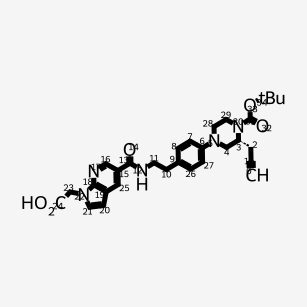 C#CC[C@@H]1CN(c2ccc(CCNC(=O)c3cnc4c(ccn4CC(=O)O)c3)cc2)CCN1C(=O)OC(C)(C)C